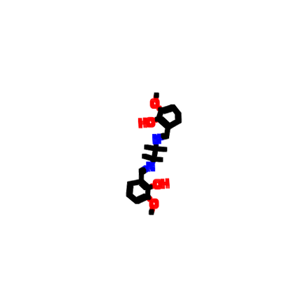 COc1cccc(C=NC(C)(C)C(C)(C)N=Cc2cccc(OC)c2O)c1O